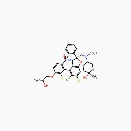 C[C@H](O)COc1ccc(C(N)=O)c(-c2c(Cl)c(F)cc3c2[C@H](C)[C@@](CN(C(=O)O)C2CCC(C)(O)CC2)(c2ccccc2)O3)c1F